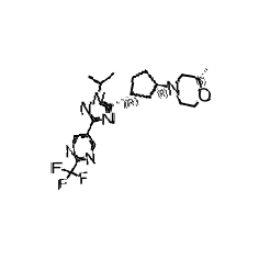 CC(C)n1nc(-c2cnc(C(F)(F)F)nc2)nc1[C@@H]1CC[C@@H](N2CCO[C@@H](C)C2)C1